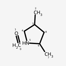 C=O.CC1CNC(C)C1